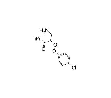 CC(C)C(=O)C(CN)OOc1ccc(Cl)cc1